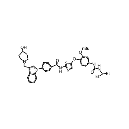 CCCCOc1cc(NC(=O)NC(CC)CC)ccc1Oc1cnc(NC(=O)c2ccc(-n3cc(CN4CCC(O)CC4)c4ccccc43)cc2)s1